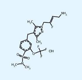 Cc1nn(C/C(F)=C/CN)c(C)c1Cc1ccc(S(=O)(=O)N(C)C)c(OC(F)(F)F)c1.Cl